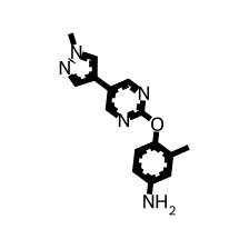 Cc1cc(N)ccc1Oc1ncc(-c2cnn(C)c2)cn1